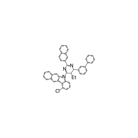 CCC1C(n2c3cc4ccccc4cc3c3c(Cl)cccc32)=NC(c2ccc3ccccc3c2)=NC1c1cccc(-c2ccccc2)c1